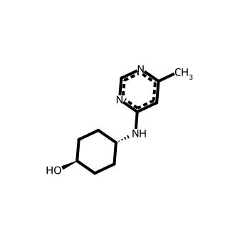 Cc1cc(N[C@H]2CC[C@H](O)CC2)ncn1